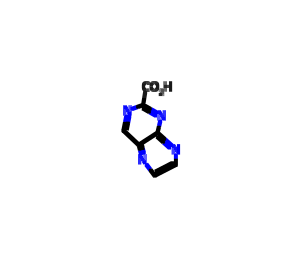 O=C(O)c1ncc2nccnc2n1